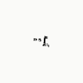 [AlH2][Au].[Cr].[Fe]